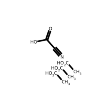 CC(=O)O.CC(=O)O.CC(=O)O.N#CC(=O)O